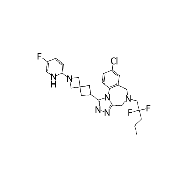 CCCC(F)(F)CN1Cc2cc(Cl)ccc2-n2c(nnc2C2CC3(C2)CN(C2C=CC(F)=CN2)C3)C1